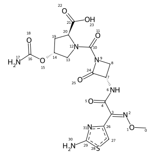 CON=C(C(=O)N[C@H]1CN(C(=O)N2C[C@H](OC(N)=O)C[C@H]2C(=O)O)C1=O)c1csc(N)n1